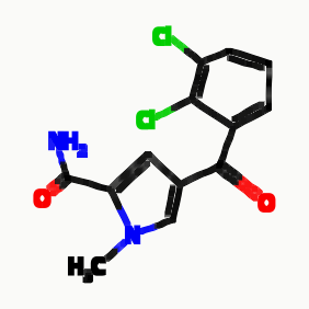 Cn1cc(C(=O)c2cccc(Cl)c2Cl)cc1C(N)=O